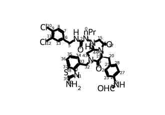 CCCN(C(=O)NCc1ccc(Cl)c(Cl)c1)N1CC(=O)N2[C@@H](Cc3ccc(NC=O)cc3)C(=O)N(Cc3cccc4sc(N)nc34)C[C@@H]21